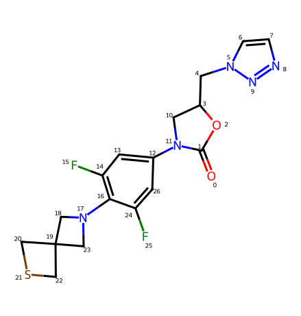 O=C1OC(Cn2ccnn2)CN1c1cc(F)c(N2CC3(CSC3)C2)c(F)c1